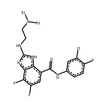 CCN(CC)CCNc1nc2c(F)c(F)cc(C(=O)Nc3ccc(F)c(Cl)c3)c2[nH]1